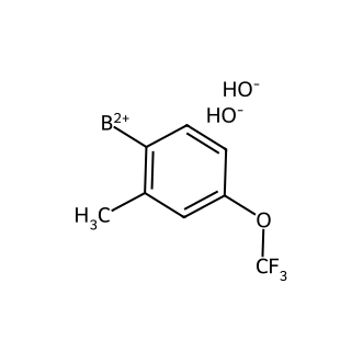 [B+2]c1ccc(OC(F)(F)F)cc1C.[OH-].[OH-]